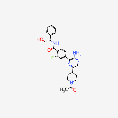 CC(=O)N1CCC(c2cnc(N)c(-c3ccc(C(=O)N[C@H](CO)c4ccccc4)c(F)c3)n2)CC1